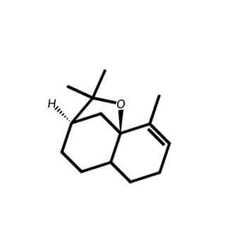 CC1=CCCC2CC[C@@H]3C[C@]12OC3(C)C